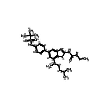 CCNC(=O)Nc1nc2cc(-c3cnc(NS(=O)(=O)C(C)(C)C)nc3)cc(N(C)CCN(C)C)c2s1